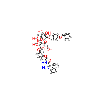 CC(c1ccccc1)C(N)C(=O)NC([C]=O)Cc1ccc(OC2OC(CO)C(OC3OC(CO)C(O)C(O)C3OCc3ccc(OCc4ccccc4)cc3)C(O)C2O)cc1